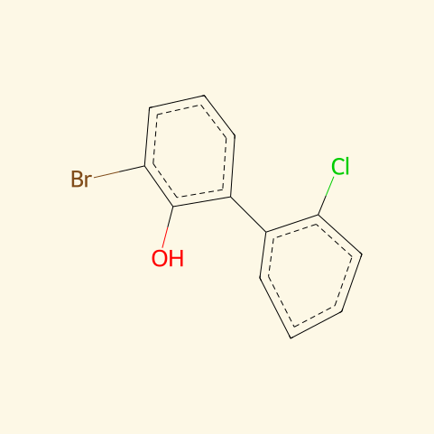 Oc1c(Br)cccc1-c1ccccc1Cl